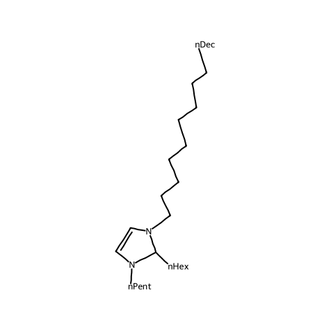 CCCCCCCCCCCCCCCCCCCN1C=CN(CCCCC)C1CCCCCC